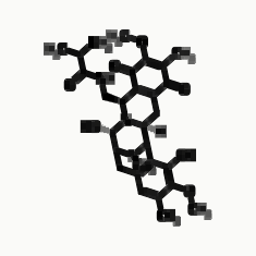 COC1=C(C)C(=O)C2=C(C1=O)[C@H](CNC(=O)C(C)N)N1[C@@H](O)C3Cc4cc(C)c(OC)c(O)c4C([C@@H]1C2)N3C